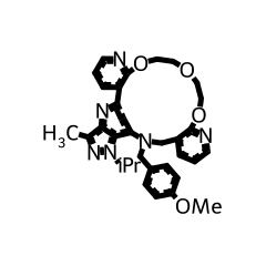 COc1ccc(CN2Cc3cccnc3OCCOCCOc3ncccc3-c3cc2c2c(n3)c(C)nn2C(C)C)cc1